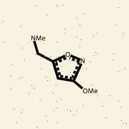 CNCc1cc(OC)no1